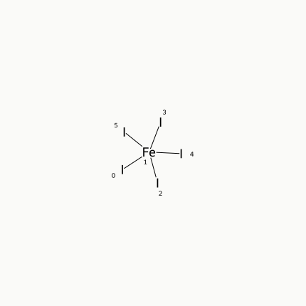 [I][Fe]([I])([I])([I])[I]